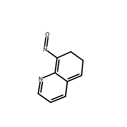 O=NC1=c2ncccc2=CCC1